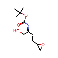 CC(C)(C)OC(=O)/N=C(\CO)CCC1CO1